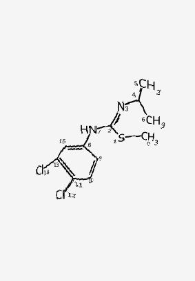 CSC(=NC(C)C)Nc1ccc(Cl)c(Cl)c1